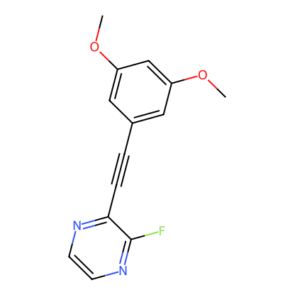 COc1cc(C#Cc2nccnc2F)cc(OC)c1